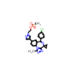 Cc1nnc2n1-c1ccc(-c3cnn(CCOS(C)(=O)=O)c3)cc1C(c1ccc(Cl)cc1)=NC21CC1